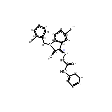 O=C1/C(=N\NC(=S)NC2=CC=CCC2)c2cc(F)ccc2N1Cc1ccccc1I